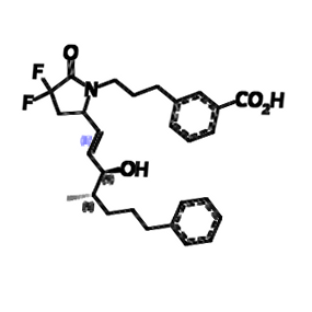 C[C@@H](CCCc1ccccc1)[C@H](O)/C=C/C1CC(F)(F)C(=O)N1CCCc1cccc(C(=O)O)c1